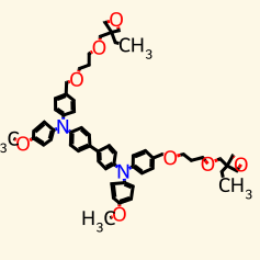 CCC1(COCCCOCc2ccc(N(c3ccc(OC)cc3)c3ccc(-c4ccc(N(c5ccc(COCCCOCC6(CC)COC6)cc5)c5ccc(OC)cc5)cc4)cc3)cc2)COC1